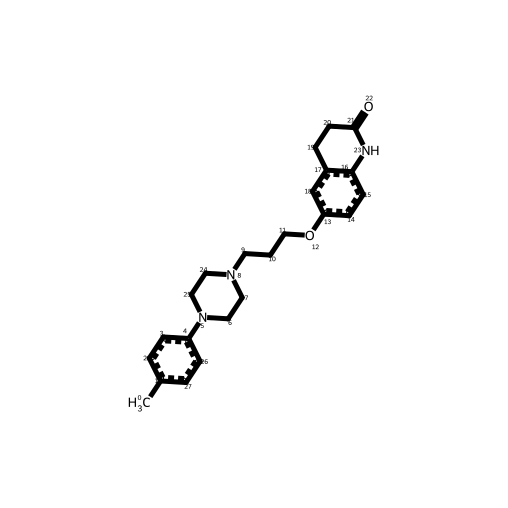 Cc1ccc(N2CCN(CCCOc3ccc4c(c3)CCC(=O)N4)CC2)cc1